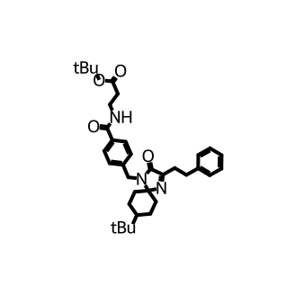 CC(C)(C)OC(=O)CCNC(=O)c1ccc(CN2C(=O)C(CCc3ccccc3)=NC23CCC(C(C)(C)C)CC3)cc1